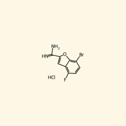 Cl.N=C(N)c1cc2c(F)ccc(Br)c2o1